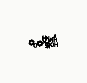 C=CCNC(=N)c1c(O)nsc1Nc1ccc(Oc2ccccc2)cc1